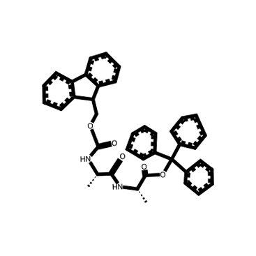 C[C@H](NC(=O)OCC1c2ccccc2-c2ccccc21)C(=O)N[C@@H](C)C(=O)OC(c1ccccc1)(c1ccccc1)c1ccccc1